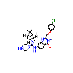 C[C@@H]1[C@@H](N=C(Nc2ccc3c(=O)n(C)c(COc4ccc(Cl)cc4)nc3c2)N2CCN[C@@H](C)C2)C[C@H]2C[C@@H]1C2(C)C